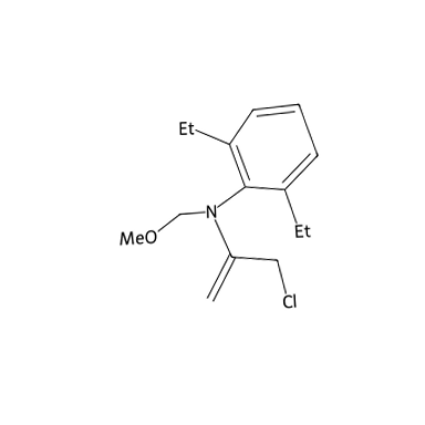 C=C(CCl)N(COC)c1c(CC)cccc1CC